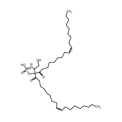 CCCCCCCC/C=C\CCCCCCCC(=O)C(OP(=O)(O)O)(C(=O)CCCCCCC/C=C\CCCCCCCC)C(O)CO